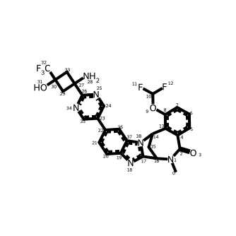 CN1C(=O)c2cccc(OC(F)F)c2C2CC1c1nc3ccc(-c4cnc(C5(N)CC(O)(C(F)(F)F)C5)nc4)cc3n12